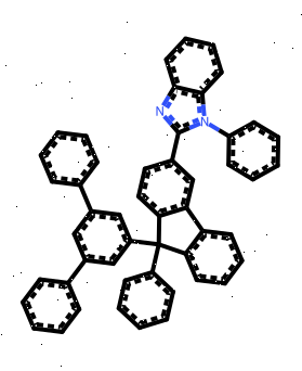 c1ccc(-c2cc(-c3ccccc3)cc(C3(c4ccccc4)c4ccccc4-c4cc(-c5nc6ccccc6n5-c5ccccc5)ccc43)c2)cc1